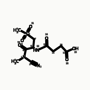 CN(C#N)C(=O)C(CS(C)(=O)=O)NC(=O)CCC(=O)O